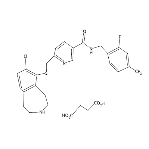 O=C(NCc1ccc(C(F)(F)F)cc1F)c1ccc(CSc2c(Cl)ccc3c2CCNCC3)nc1.O=C(O)CCC(=O)O